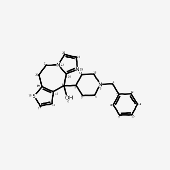 OC1(C2CCN(Cc3ccccc3)CC2)c2ccsc2CCn2ccnc21